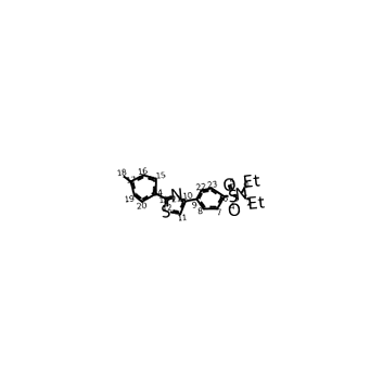 CCN(CC)S(=O)(=O)c1ccc(-c2csc(-c3ccc(C)cc3)n2)cc1